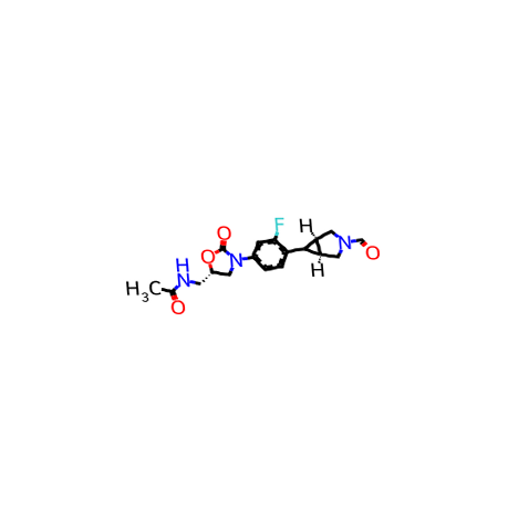 CC(=O)NC[C@H]1CN(c2ccc(C3[C@H]4CN(C=O)C[C@@H]34)c(F)c2)C(=O)O1